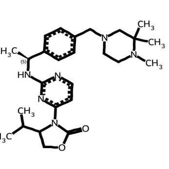 CC(C)C1COC(=O)N1c1ccnc(N[C@@H](C)c2ccc(CN3CCN(C)C(C)(C)C3)cc2)n1